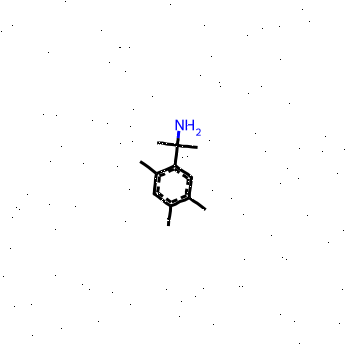 Cc1cc(C)c(C(C)(C)N)cc1C